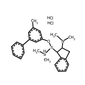 Cc1cc([O][Ti]([CH]2c3ccccc3CC2N(C)C)[SiH](C)C)cc(-c2ccccc2)c1.Cl.Cl